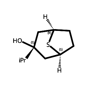 CC(C)[C@@]1(O)C[C@H]2CC[C@@H](C1)S2